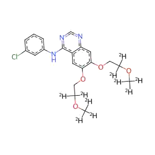 [2H]C([2H])([2H])OC([2H])([2H])COc1cc2ncnc(Nc3cccc(Cl)c3)c2cc1OCC([2H])([2H])OC([2H])([2H])[2H]